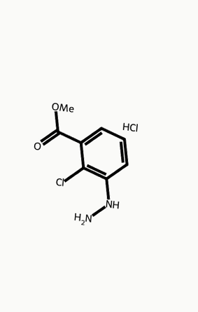 COC(=O)c1cccc(NN)c1Cl.Cl